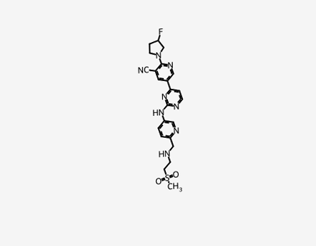 CS(=O)(=O)CCNCc1ccc(Nc2nccc(-c3cnc(N4CCC(F)C4)c(C#N)c3)n2)cn1